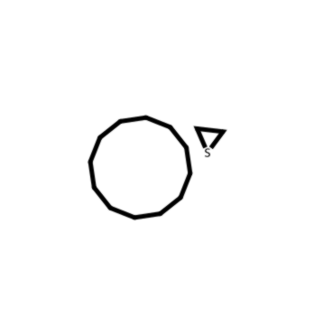 C1CCCCCCCCCCC1.C1CS1